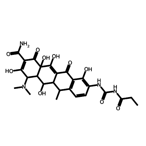 CCC(=O)NC(=O)Nc1ccc2c(c1O)C(=O)C1=C(O)C3(O)C(=O)C(C(N)=O)=C(O)C(N(C)C)C3C(O)C1C2C